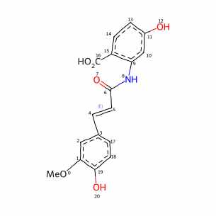 COc1cc(/C=C/C(=O)Nc2cc(O)ccc2C(=O)O)ccc1O